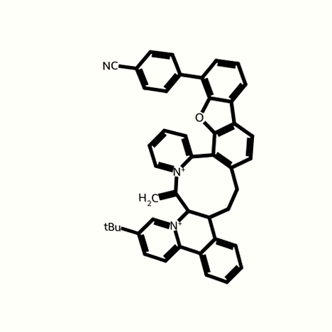 C=C1C2C(CCc3ccc4c(oc5c(-c6ccc(C#N)cc6)cccc54)c3-c3cccc[n+]31)c1ccccc1-c1ccc(C(C)(C)C)c[n+]12